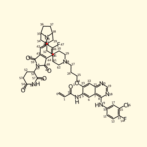 C=CC(=O)Nc1cc2c(Nc3ccc(F)c(Cl)c3)ncnc2cc1OCCCN1CCC(CN2CC3CCC(C2)N3c2cc3c(cc2F)C(=O)N(C2CCC(=O)NC2=O)C3=O)CC1